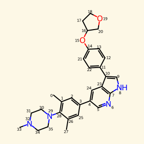 Cc1cc(-c2cnc3[nH]cc(-c4ccc(OC5CCOC5)cc4)c3c2)cc(C)c1N1CCN(C)CC1